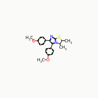 COc1ccc(-c2nc3n(c2-c2ccc(OC)cc2)C(C)C(C)S3)cc1